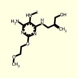 C=C(CO)CNc1nc(OCCOC)nc(N)c1NI